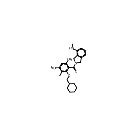 CNc1cccc2c1CN(C(=O)c1c(O)cc(O)c(C)c1OCC1CCCCC1)C2